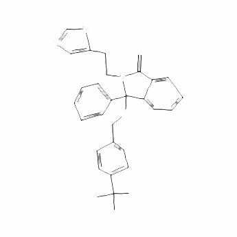 CC(C)(C)c1ccc(COC2(c3ccccc3)c3ccccc3C(=O)N2CCc2cnc[nH]2)cc1